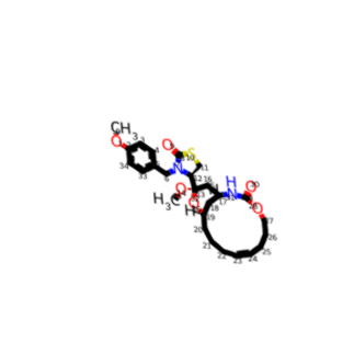 COc1ccc(CN2C(=O)SC[C@H]2[C@@]2(OC)C[C@H]3C[C@@H](CCCC=CCCCOC(=O)N3)O2)cc1